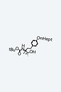 CCCCCCCOc1ccc(CC[C@@](C)(NC(=O)OC(C)(C)C)[C@@H](C)O)cc1